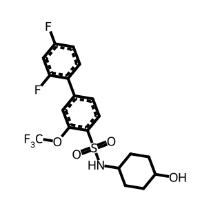 O=S(=O)(NC1CCC(O)CC1)c1ccc(-c2ccc(F)cc2F)cc1OC(F)(F)F